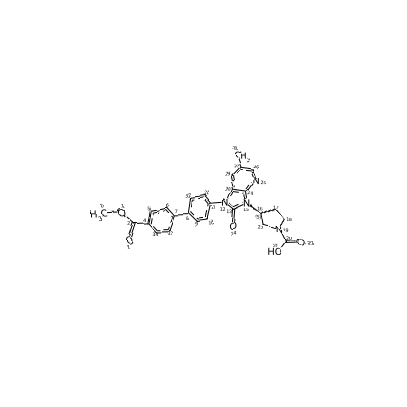 COC(=O)c1ccc(-c2ccc(-n3c(=O)n([C@H]4CCN(C(=O)O)C4)c4ncc(C)cc43)cc2)cc1